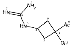 CC(=O)C1(O)CC(NC(=N)N)C1